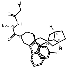 CC[C@H](NC(=O)CCl)C(=O)N1CCC(CCN2[C@@H]3CC[C@H]2C[C@@H](n2c(C)nc4ccccc42)C3)(c2cccc(F)c2)CC1